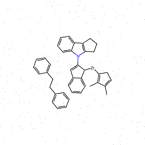 CC1=CC[C]([Zr][CH]2C(n3c4c(c5ccccc53)CCC4)=Cc3ccccc32)=C1C.c1ccc(CCc2ccccc2)cc1